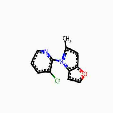 Cc1cc2occc2n1-c1ncccc1Cl